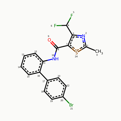 Cc1nc(C(F)F)c(C(=O)Nc2ccccc2-c2ccc(Br)cc2)s1